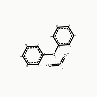 O=S=O.c1ccc(Oc2ccccc2)cc1